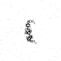 COc1ccc(C2OC[C@@H]3CC(n4ccc5c(N)ncnc54)C[C@@H]3O2)cc1